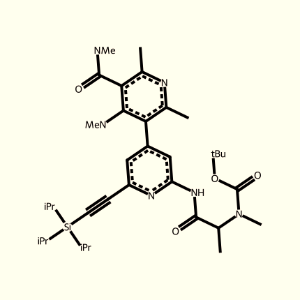 CNC(=O)c1c(C)nc(C)c(-c2cc(C#C[Si](C(C)C)(C(C)C)C(C)C)nc(NC(=O)C(C)N(C)C(=O)OC(C)(C)C)c2)c1NC